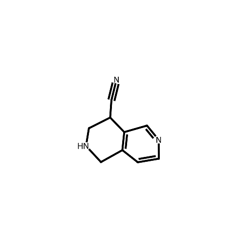 N#CC1CNCc2ccncc21